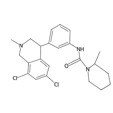 CC1CCCCN1C(=O)Nc1cccc(C2CN(C)Cc3c(Cl)cc(Cl)cc32)c1